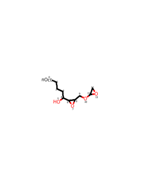 CCCCCCCCCCCC(O)C1OC1COC1CO1